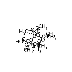 CCOC(=O)CN(CC(=O)OCC)c1ccc(-c2c3cc/c(=N/C)cc-3oc3cc(N(C)C)ccc23)cc1OCCOc1ccc(CC(=O)O)cc1N(CC(=O)OCC)CC(=O)OCC